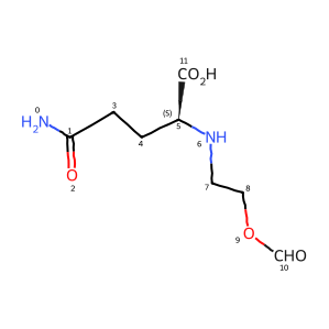 NC(=O)CC[C@H](NCCOC=O)C(=O)O